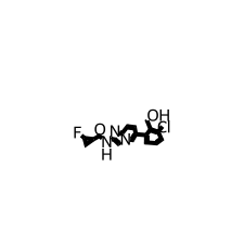 O=C(Nc1cn2cc(-c3cccc(Cl)c3CO)ccc2n1)C1CC1F